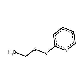 BCSSc1ccccn1